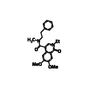 CCn1cc(C(=O)N(C)CCc2ccccc2)c2cc(OC)c(OC)cc2c1=O